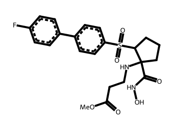 COC(=O)CCNC1(C(=O)NO)CCCC1S(=O)(=O)c1ccc(-c2ccc(F)cc2)cc1